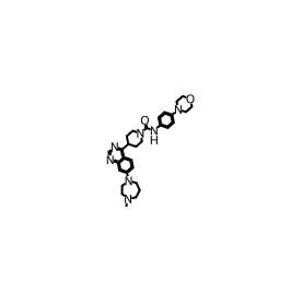 CN1CCCN(c2ccc3c(C4CCN(C(=O)Nc5ccc(N6CCOCC6)cc5)CC4)ncnc3c2)CC1